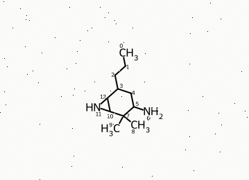 CCCC1CC(N)C(C)(C)C2NC12